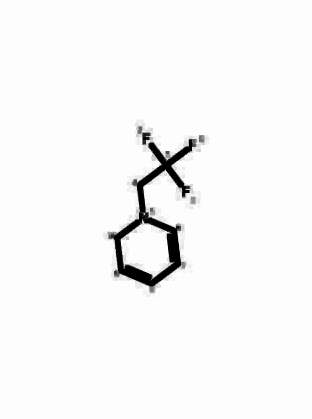 FC(F)(F)CN1C=CC=CC1